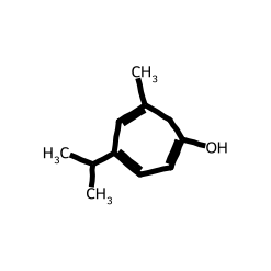 CC1=CC(C(C)C)=CC=C(O)C1